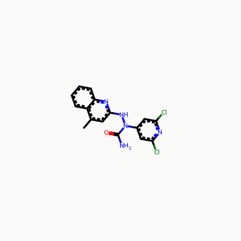 Cc1cc(NN(C(N)=O)c2cc(Cl)nc(Cl)c2)nc2ccccc12